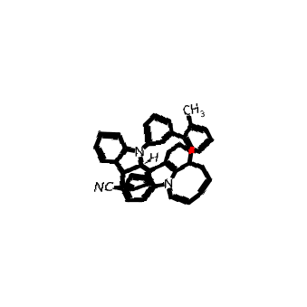 Cc1ccccc1-c1cccc(N2C3C=CC=CC3C3C=CC=C(C4=C5C(C/C=C\C=C/N5c5ccc(C#N)cc5)CCC4)[C@@H]32)c1